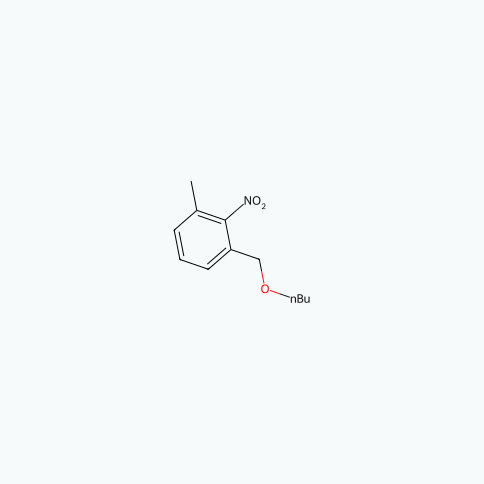 CCCCOCc1cccc(C)c1[N+](=O)[O-]